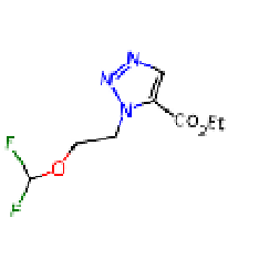 CCOC(=O)c1cnnn1CCOC(F)F